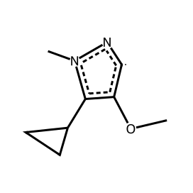 COc1[c]nn(C)c1C1CC1